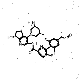 C[C@@H]1C[C@H](N)CN(c2c(NC(=O)c3ccc(F)c(-c4c(F)cc(C[S+]=O)cc4F)n3)cnc3c2CC[C@@H]3O)C1